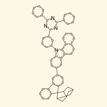 c1ccc(-c2nc(-c3ccccc3)nc(-c3cccc(-n4c5ccc(-c6ccc7c(c6)-c6ccccc6C76C7CC8CC(C7)C6C8)cc5c5ccc6ccccc6c54)c3)n2)cc1